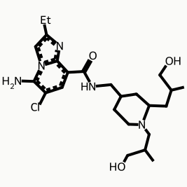 CCc1cn2c(N)c(Cl)cc(C(=O)NCC3CCN(CC(C)CO)C(CC(C)CO)C3)c2n1